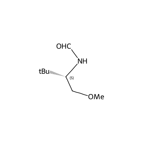 COC[C@@H](NC=O)C(C)(C)C